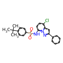 CC(C)(C)c1ccc(S(=O)(=O)Nc2ccc(Cl)c3cc(-c4ccccc4)nn23)cc1